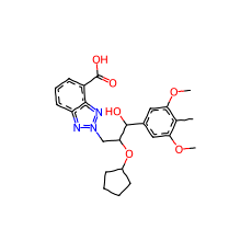 COc1cc(C(O)C(Cn2nc3cccc(C(=O)O)c3n2)OC2CCCC2)cc(OC)c1C